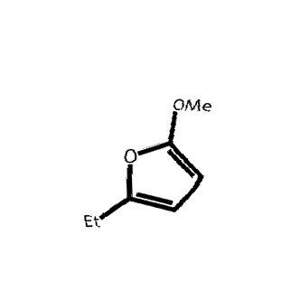 CCc1ccc(OC)o1